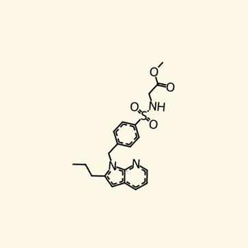 CCCc1cc2cccnc2n1Cc1ccc(S(=O)(=O)NCC(=O)OC)cc1